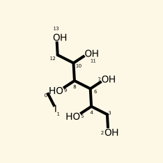 CI.OCC(O)C(O)C(O)C(O)CO